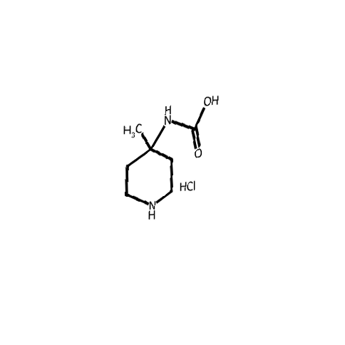 CC1(NC(=O)O)CCNCC1.Cl